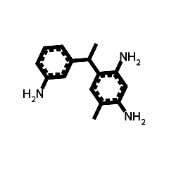 Cc1cc(C(C)c2cccc(N)c2)c(N)cc1N